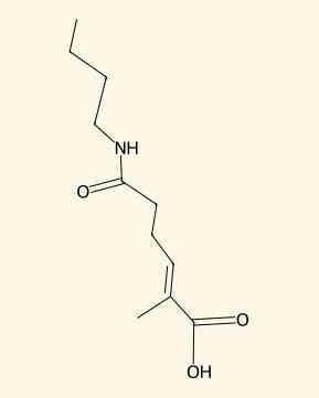 CCCCNC(=O)CC/C=C(\C)C(=O)O